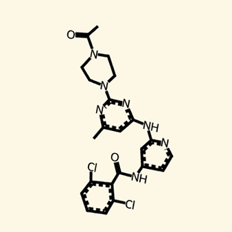 CC(=O)N1CCN(c2nc(C)cc(Nc3cc(NC(=O)c4c(Cl)cccc4Cl)ccn3)n2)CC1